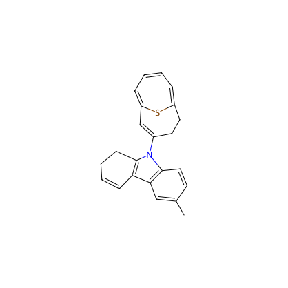 Cc1ccc2c(c1)c1c(n2C2=CC3=CC=CC=C(CC2)S3)CCC=C1